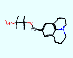 CC(C)(O)C(C)(C)OBc1cc2c3c(c1)CCCN3CCC2